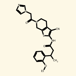 CCOc1ccccc1C(C)CC(=O)Nc1sc2c(c1C#N)CCN(C(=O)Cn1ccnc1)C2